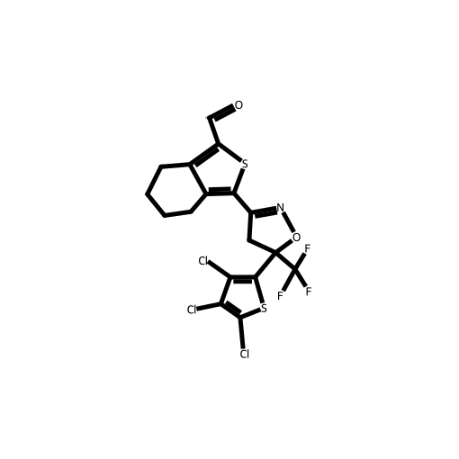 O=[C]c1sc(C2=NOC(c3sc(Cl)c(Cl)c3Cl)(C(F)(F)F)C2)c2c1CCCC2